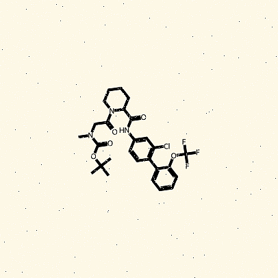 CN(CC(=O)N1CCCCC1C(=O)Nc1ccc(-c2ccccc2OC(F)(F)F)c(Cl)c1)C(=O)OC(C)(C)C